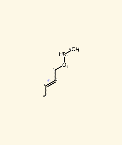 C/C=C/COBO